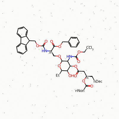 CCCCCCCCCCC[C@H](CC(=O)OC1C(O)C(CC)OC(OC[C@@H](NC(=O)OCC2c3ccccc3-c3ccccc32)C(=O)OCc2ccccc2)C1NC(=O)OCC(Cl)(Cl)Cl)OC(=O)CCCCCCCCC